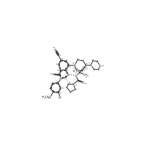 COc1ccc(-n2c([C@H]3CCCN3C(=O)OC(C)(C)C)nc3c(N4CCC(N5CCOCC5)CC4)cc(C#N)cc3c2=O)cc1F